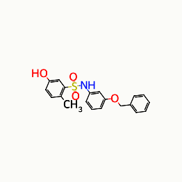 Cc1ccc(O)cc1S(=O)(=O)Nc1cccc(OCc2ccccc2)c1